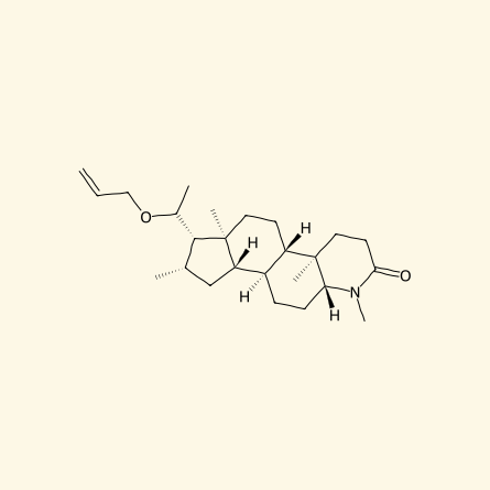 C=CCOC(C)[C@H]1[C@@H](C)C[C@H]2[C@@H]3CC[C@H]4N(C)C(=O)CC[C@]4(C)[C@H]3CC[C@@]21C